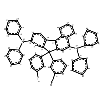 Fc1cccc(C2(c3cccc(F)c3)c3cc(N(c4ccccc4)c4ccccc4)ccc3-c3c2cc(N(c2ccccc2)c2ccccc2)c2ccccc32)c1